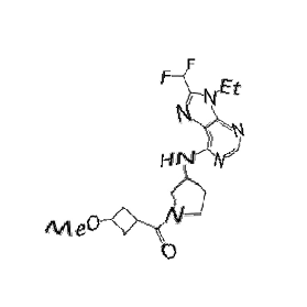 CCn1c(C(F)F)nc2c(NC3CCN(C(=O)C4CC(OC)C4)C3)ncnc21